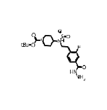 CC(C)(C)OC(=O)N1CCC(N(CCc2ccc(C(=O)NN)cc2F)[SH](=O)=O)CC1